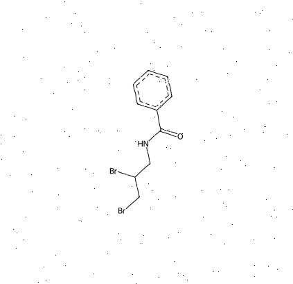 O=C(NCC(Br)CBr)c1ccccc1